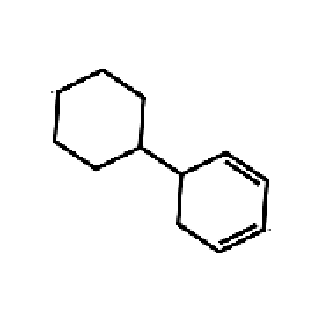 [C]1=CCC(C2CC[CH]CC2)C=C1